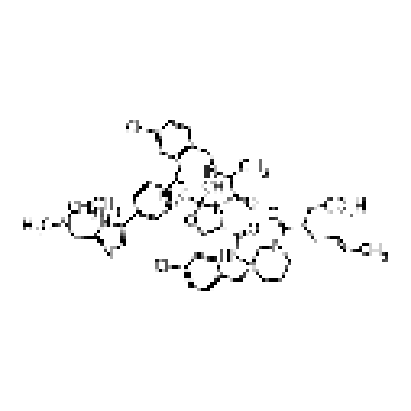 CC=CCC(CC(=O)O)C(=O)N1CCC[C@](Cc2ccc(Cl)cc2)(NC(=O)[C@@H]2COC(C)(C)N2C(=O)C(C)NCc2ccc(Cl)cc2Oc2ccc(-c3cnc(CN(C)C)n3C)cc2)C1